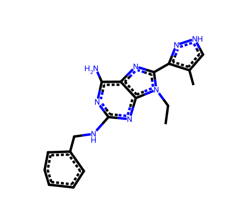 CCn1c(-c2n[nH]cc2C)nc2c(N)nc(NCc3ccccc3)nc21